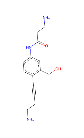 NCCC#Cc1ccc(NC(=O)CCN)cc1CO